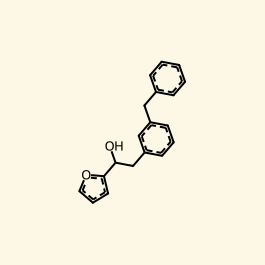 OC(Cc1cccc(Cc2ccccc2)c1)c1ccco1